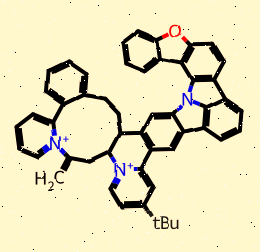 C=C1CC2C(CCc3ccccc3-c3cccc[n+]31)c1cc3c(cc1-c1cc(C(C)(C)C)cc[n+]12)c1cccc2c4ccc5oc6ccccc6c5c4n3c12